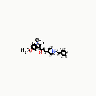 COc1ccc2c(c1)c(C(=O)C=CC1CCN(CCc3ccccc3)CC1)cn2C